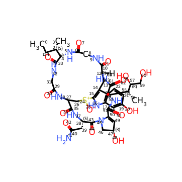 CC[C@H](C)[C@@H]1NC(=O)CNC(=O)[C@H]2Cc3c([nH]c4cc(O)ccc34)[S+]([O-])CC(NC(=O)CNC1=O)C(=O)N[C@@H](CC(N)=O)C(=O)N1C[C@H](O)C=C1C(=O)N[C@@H]([C@@H](C)[C@@H](O)CO)C(=O)N2